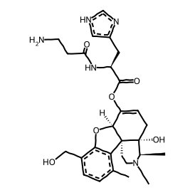 Cc1ccc(CO)c2c1[C@]13CCN(C)[C@H](C)[C@]1(O)CC=C(OC(=O)[C@H](Cc1c[nH]cn1)NC(=O)CCN)[C@@H]3O2